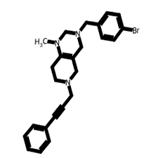 CN1CN(Cc2ccc(Br)cc2)CC2=C1CCN(CC#Cc1ccccc1)C2